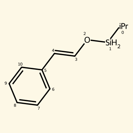 CC(C)[SiH2]OC=Cc1ccccc1